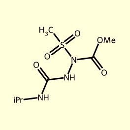 COC(=O)N(NC(=O)NC(C)C)S(C)(=O)=O